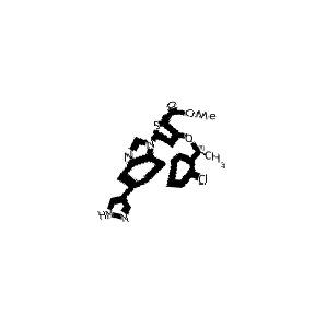 COC(=O)c1sc(-n2cnc3cc(-c4cn[nH]c4)ccc32)cc1O[C@H](C)c1ccccc1Cl